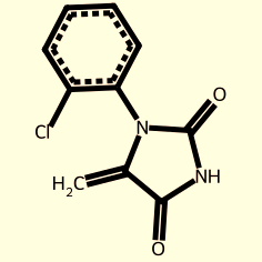 C=C1C(=O)NC(=O)N1c1ccccc1Cl